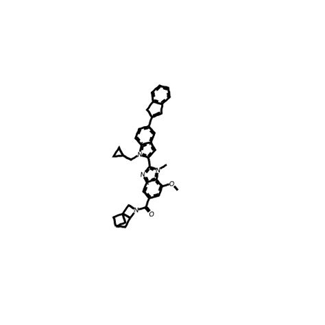 COc1cc(C(=O)N2CC34CC(CC23)C4)cc2nc(-c3cc4cc(C5=Cc6ccccc6C5)ccc4n3CC3CC3)n(C)c12